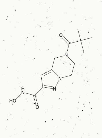 CC(C)(C)C(=O)N1CCn2nc(C(=O)NO)cc2C1